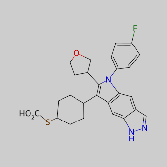 O=C(O)SC1CCC(c2c(C3CCOC3)n(-c3ccc(F)cc3)c3cc4cn[nH]c4cc23)CC1